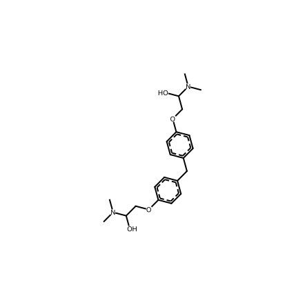 CN(C)C(O)COc1ccc(Cc2ccc(OCC(O)N(C)C)cc2)cc1